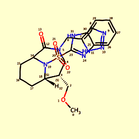 COC[C@H]1CN(Cc2cnn[nH]2)C(=O)C2CCC[C@@H]1N2S(=O)(=O)c1nc2ccccc2[nH]1